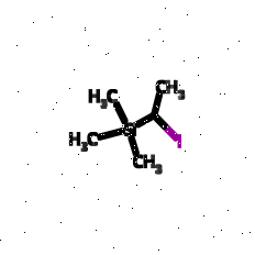 CC(I)[Si](C)(C)C